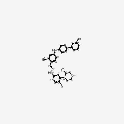 CCc1cc(Nc2ccc(-c3cccc(O)c3)cc2)ccc1/C=N/Nc1ncc(F)c(N2CCOCC2CC)n1